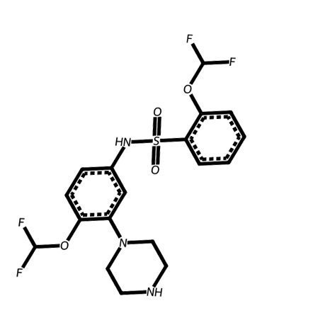 O=S(=O)(Nc1ccc(OC(F)F)c(N2CCNCC2)c1)c1ccccc1OC(F)F